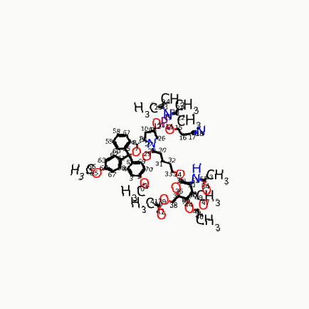 COc1ccc(C(OC[C@@H]2C[C@@H](OP(OCCC#N)N(C(C)C)C(C)C)CN2C(=O)CCCCO[C@@H]2OC(COC(C)=O)[C@H](OC(C)=O)[C@H](C)C2NC(C)=O)(c2ccccc2)c2ccc(OC)cc2)cc1